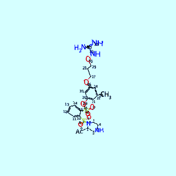 CC(=O)C1CNCCN1S(=O)(=O)c1ccccc1S(=O)(=O)Oc1cc(C)cc(OCCCONC(=N)N)c1